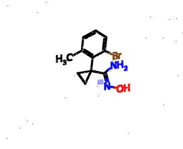 Cc1cccc(Br)c1C1(/C(N)=N/O)CC1